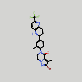 Cc1cc(C2C=Cc3nc(C(F)(F)F)ccc3N2)ccc1N1CCn2nc(Br)c(C)c2C1=O